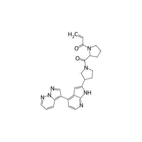 C=CC(=O)N1CCCC1C(=O)N1CCC(c2cc3c(-c4cnn5ncccc45)ccnc3[nH]2)C1